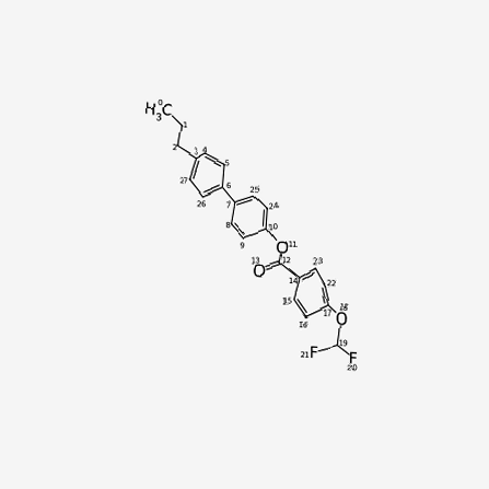 CCCc1ccc(-c2ccc(OC(=O)c3ccc(OC(F)F)cc3)cc2)cc1